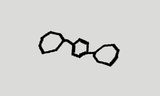 c1cc(C2CCCCCC2)ccc1C1CCCCCC1